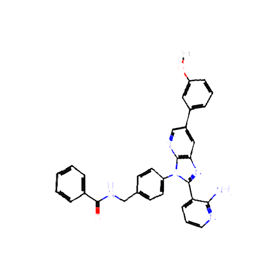 CCOc1cccc(-c2cnc3c(c2)nc(-c2cccnc2N)n3-c2ccc(CNC(=O)c3ccccc3)cc2)c1